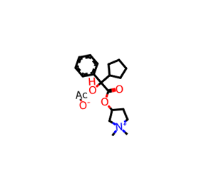 CC(=O)[O-].C[N+]1(C)CCC(OC(=O)C(O)(c2ccccc2)C2CCCC2)C1